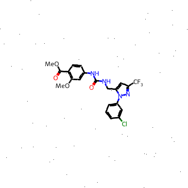 COC(=O)c1ccc(NC(=O)NCc2cc(C(F)(F)F)nn2-c2cccc(Cl)c2)cc1OC